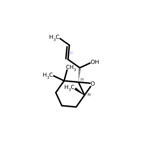 C/C=C/C(O)[C@]12O[C@]1(C)CCCC2(C)C